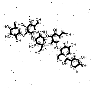 CC(=O)NC1[C@H](O[C@@H]2C(O)[C@@H](O[C@H]3C(CO)O[C@@H](O[C@@H]4C(CO)O[C@@H](C)C(O)[C@H]4O)C(O)[C@H]3O)OC(CO)[C@@H]2O)OC(CO)[C@H](O)[C@@H]1O[C@@H]1OC(CO)[C@H](O)[C@H](O)C1O[C@@H]1OC(C)[C@@H](O)[C@H](O)C1O